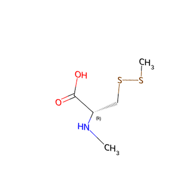 CN[C@@H](CSSC)C(=O)O